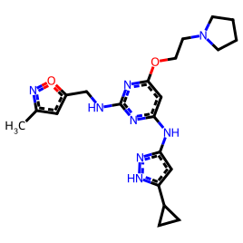 Cc1cc(CNc2nc(Nc3cc(C4CC4)[nH]n3)cc(OCCN3CCCC3)n2)on1